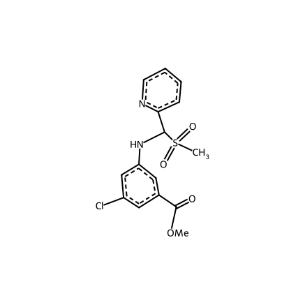 COC(=O)c1cc(Cl)cc(NC(c2ccccn2)S(C)(=O)=O)c1